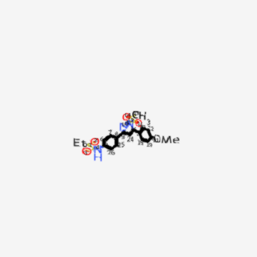 CCS(=O)(=O)Nc1ccc(C2=NN(S(C)(=O)=O)C(c3ccc(OC)cc3)C2)cc1